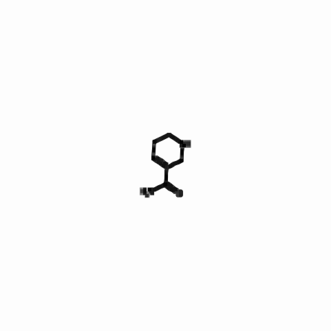 NC(=O)C1=CCCNC1